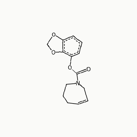 O=C(Oc1cccc2c1OCO2)N1CC=CCCC1